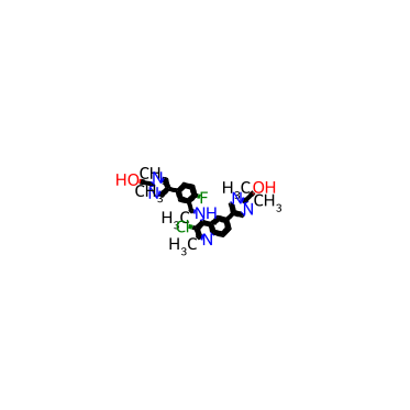 Cc1nc2ccc(-c3cnc(C(C)(C)O)nc3)cc2c(NC(C)c2cc(-c3cnc(C(C)(C)O)nc3)ccc2F)c1Cl